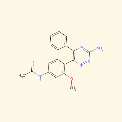 COc1cc(NC(C)=O)ccc1-c1nnc(N)nc1-c1ccccc1